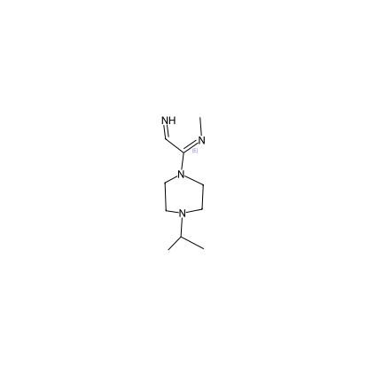 C/N=C(\C=N)N1CCN(C(C)C)CC1